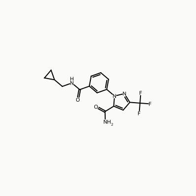 NC(=O)c1cc(C(F)(F)F)nn1-c1cccc(C(=O)NCC2CC2)c1